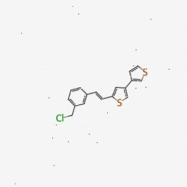 ClCc1cccc(/C=C/c2cc(-c3ccsc3)cs2)c1